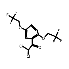 O=C(c1cc(OCC(F)(F)F)ccc1OCC(F)(F)F)C(Cl)Cl